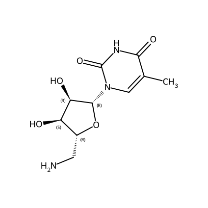 Cc1cn([C@@H]2O[C@H](CN)[C@@H](O)[C@H]2O)c(=O)[nH]c1=O